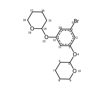 Brc1cc(OC2CCCCO2)cc(OC2CCCCO2)c1